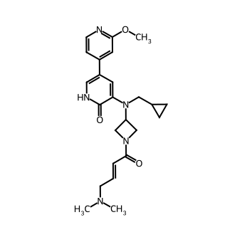 COc1cc(-c2c[nH]c(=O)c(N(CC3CC3)C3CN(C(=O)/C=C/CN(C)C)C3)c2)ccn1